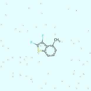 Cc1cccc2sc(F)c(F)c12